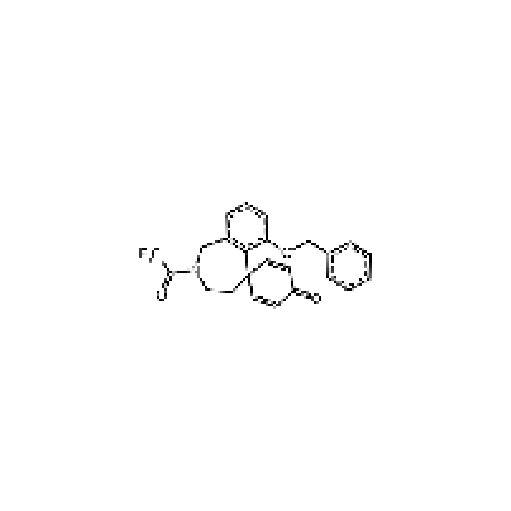 O=C1C=CC2(C=C1)CCN(C(=O)C(F)(F)F)Cc1cccc(OCc3ccccc3)c12